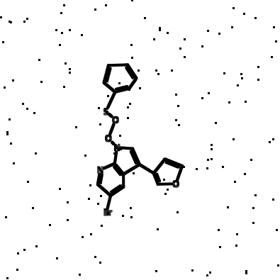 Brc1cnc2c(c1)c(-c1ccoc1)cn2OOSc1ccccc1